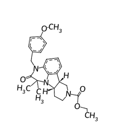 CCOC(=O)N1CC[C@H]2[C@@H](C1)c1cccc3c1N2C(C)(C)C(=O)N3Cc1ccc(OC)cc1